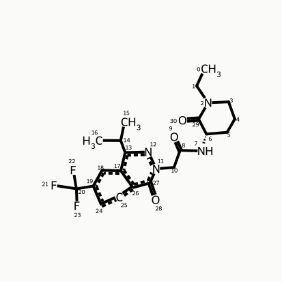 CCN1CCC[C@H](NC(=O)Cn2nc(C(C)C)c3cc(C(F)(F)F)ccc3c2=O)C1=O